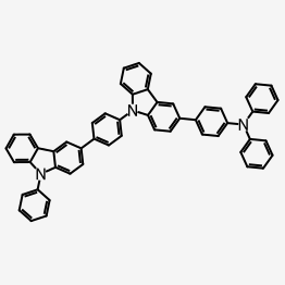 c1ccc(N(c2ccccc2)c2ccc(-c3ccc4c(c3)c3ccccc3n4-c3ccc(-c4ccc5c(c4)c4ccccc4n5-c4ccccc4)cc3)cc2)cc1